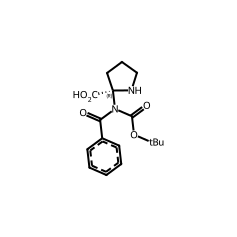 CC(C)(C)OC(=O)N(C(=O)c1ccccc1)[C@@]1(C(=O)O)CCCN1